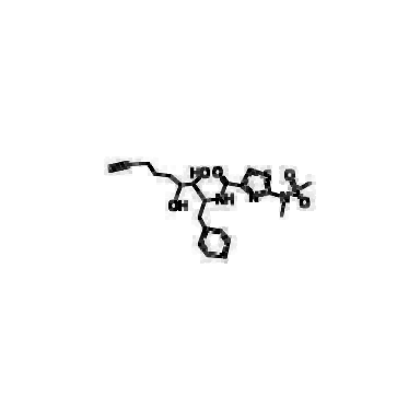 C#CCCCC(O)C(O)C(Cc1ccccc1)NC(=O)c1csc(N(C)S(C)(=O)=O)n1